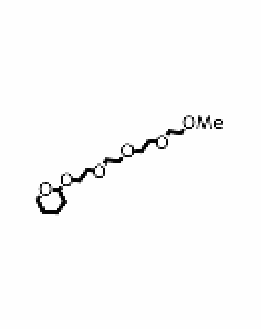 COCCOCCOCCOCCOC1CCCCO1